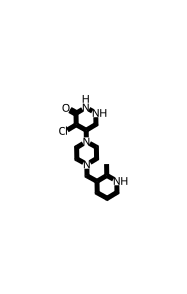 CC1NCCCC1CN1CCN(C2CNNC(=O)C2Cl)CC1